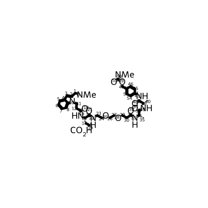 CNCc1cc2ccccc2n1CCC(=O)N[C@@H](CCC(=O)O)C(=O)NCCOCCOCCC(=O)N[C@@H](C)C(=O)N[C@@H](C)C(=O)Nc1ccc(COC(=O)NC)cc1